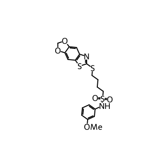 COc1cccc(NS(=O)(=O)CCCCSc2nc3cc4c(cc3s2)OCO4)c1